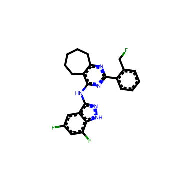 FCc1ccccc1-c1nc2c(c(Nc3n[nH]c4c(F)cc(F)cc34)n1)CCCCC2